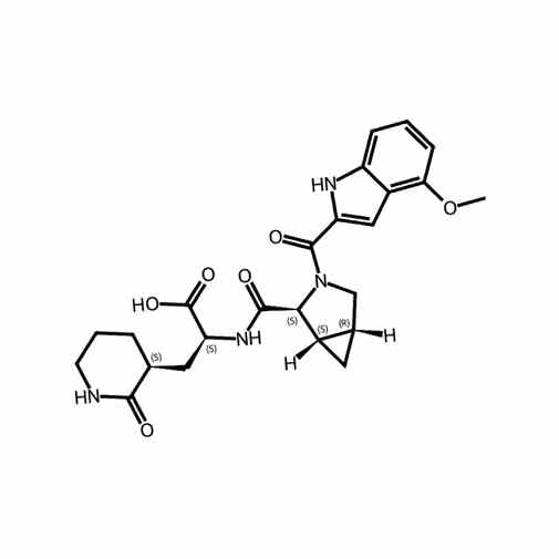 COc1cccc2[nH]c(C(=O)N3C[C@@H]4C[C@@H]4[C@H]3C(=O)N[C@@H](C[C@@H]3CCCNC3=O)C(=O)O)cc12